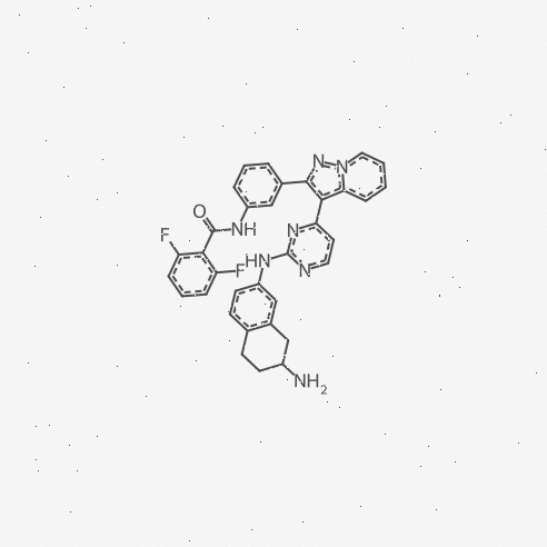 NC1CCc2ccc(Nc3nccc(-c4c(-c5cccc(NC(=O)c6c(F)cccc6F)c5)nn5ccccc45)n3)cc2C1